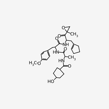 COc1ccc(CC(NC(=O)C(C)NC(=O)C2CCC(O)CC2)C(=O)NC(CC2=CCCC2)C(=O)C2(C)CO2)cc1